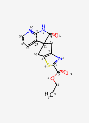 CCOC(=O)c1nc2c(s1)CC1(C2)C(=O)Nc2ncccc21